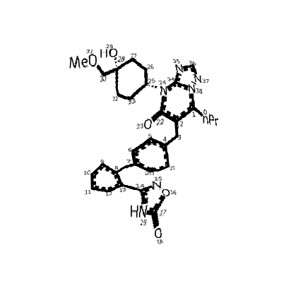 CCCc1c(Cc2ccc(-c3ccccc3-c3noc(=O)[nH]3)cc2)c(=O)n([C@H]2CC[C@](O)(COC)CC2)c2ncnn12